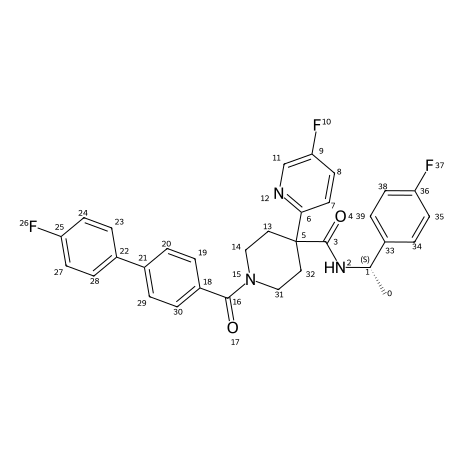 C[C@H](NC(=O)C1(c2ccc(F)cn2)CCN(C(=O)c2ccc(-c3ccc(F)cc3)cc2)CC1)c1ccc(F)cc1